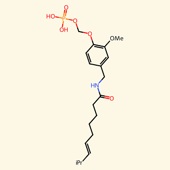 COc1cc(CNC(=O)CCCC/C=C/C(C)C)ccc1OCOP(=O)(O)O